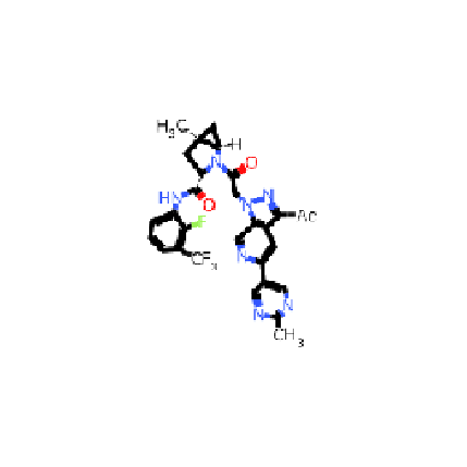 CC(=O)c1nn(CC(=O)N2[C@H](C(=O)Nc3cccc(C(F)(F)F)c3F)C[C@@]3(C)C[C@@H]23)c2cnc(-c3cnc(C)nc3)cc12